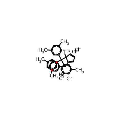 Cc1cc(C)cc(C(c2cc(C)cc(C)c2)(c2cc(C)cc(C)c2)[C]2([Ti+3])C=CC=C2Cc2ccccc2)c1.[Cl-].[Cl-].[Cl-]